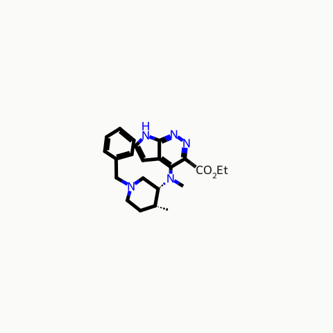 CCOC(=O)c1nnc2[nH]ccc2c1N(C)[C@H]1CN(Cc2ccccc2)CC[C@H]1C